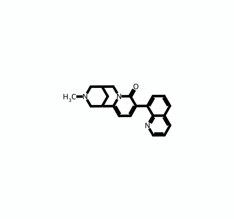 CN1CC2CC(C1)c1ccc(-c3cccc4cccnc34)c(=O)n1C2